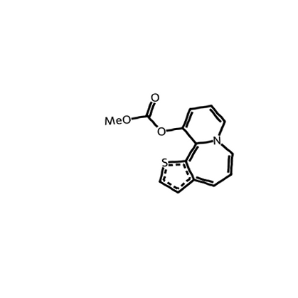 COC(=O)OC1=CC=CN2C=CC=c3ccsc3=C12